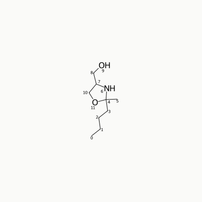 CCCCC1(C)NC(CO)CO1